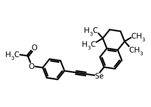 CC(=O)Oc1ccc(C#C[Se]c2ccc3c(c2)C(C)(C)CCC3(C)C)cc1